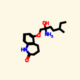 CCC(C)CCC(N)(O)COc1cccc2c1CCCC(=O)N2